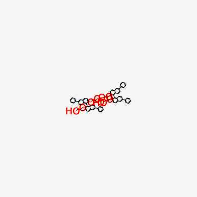 O=C(OCCOc1ccc2cc(-c3ccccc3)ccc2c1-c1c(OCCO)ccc2cc(-c3ccccc3)ccc12)OCCOc1ccc2cc(-c3ccccc3)ccc2c1-c1c(OCCO)ccc2cc(-c3ccccc3)ccc12